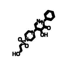 O=c1c(O)c(N2CCN(S(=O)(=O)CCO)CC2)cnn1-c1ccccc1